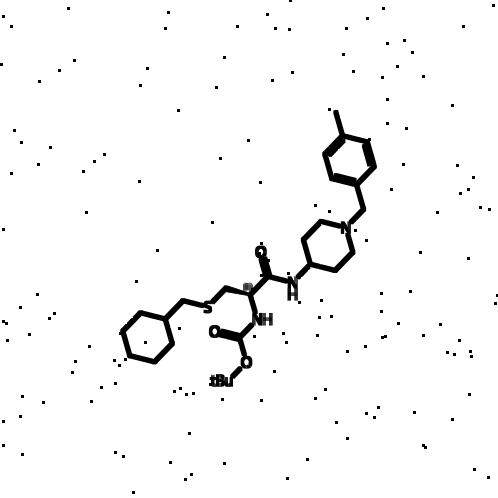 Cc1ccc(CN2CCC(NC(=O)[C@H](CSCC3CCCCC3)NC(=O)OC(C)(C)C)CC2)cc1